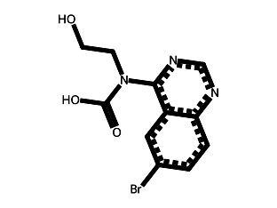 O=C(O)N(CCO)c1ncnc2ccc(Br)cc12